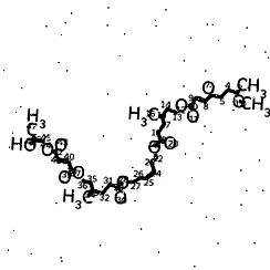 COC(C)CCC(=O)/C=C/C(=O)OCCC(C)CCC(=O)OCC/C=C\CCOC(=O)CCC(C)CCOC(=O)/C=C/C(=O)OCC(C)O